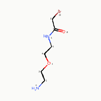 NCCOCCNC(=O)CBr